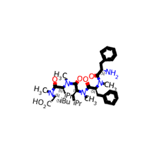 CC[C@H](C)[C@@H](C(=O)O)N(C)C(=O)[C@H](C(C)C)N(C)C(=O)[C@H](CC(C)C)N(C)C(=O)[C@H](Cc1ccccc1)N(C)C(=O)[C@@H](N)Cc1ccccc1